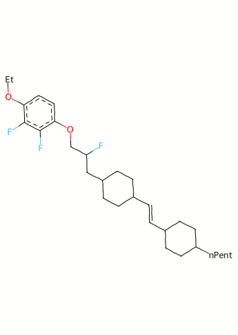 CCCCCC1CCC(/C=C/C2CCC(CC(F)COc3ccc(OCC)c(F)c3F)CC2)CC1